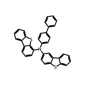 c1ccc(-c2ccc(N(c3ccc4sc5ccccc5c4c3)c3cccc4c3sc3ccccc34)cc2)cc1